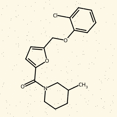 CC1CCCN(C(=O)c2ccc(COc3ccccc3Cl)o2)C1